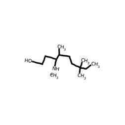 CCC(C)(C)CCC(C)C(CCO)NC